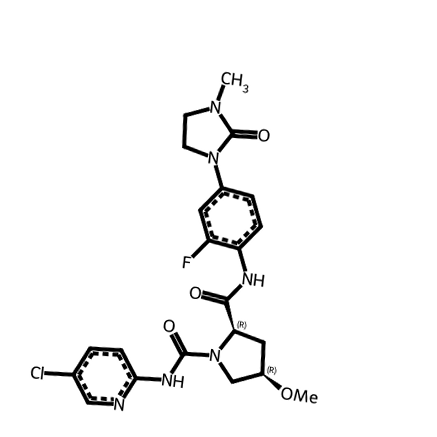 CO[C@@H]1C[C@H](C(=O)Nc2ccc(N3CCN(C)C3=O)cc2F)N(C(=O)Nc2ccc(Cl)cn2)C1